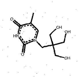 Cc1cn(CC(CO)(CO)CO)c(=O)[nH]c1=O